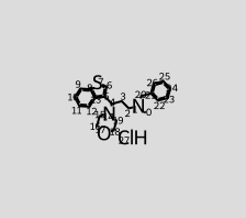 CN(CCC(c1csc2ccccc12)N1CCOCC1)Cc1ccccc1.Cl